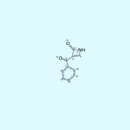 O=C1NC=C1C(=O)c1ccccc1